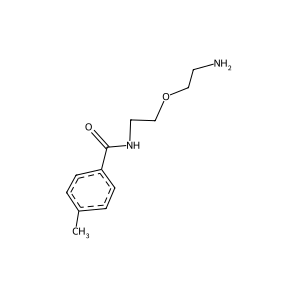 Cc1ccc(C(=O)NCCOCCN)cc1